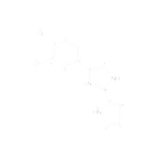 Clc1ccc(-c2c[nH]c(-c3ccc[nH]3)n2)cc1Cl